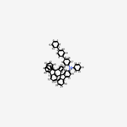 c1ccc(-c2ccc(-c3ccc(N(c4ccccc4)c4ccc5c(c4)C4(c6ccccc6-5)c5ccccc5C5(c6ccccc6)c6ccccc6-c6cccc4c65)cc3)cc2)cc1